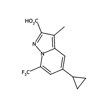 Cc1c(C(=O)O)nn2c(C(F)(F)F)cc(C3CC3)cc12